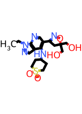 CCn1ncc2c(NC3CCS(=O)(=O)CC3)c(C3=NOC(CO)(CO)C3)cnc21